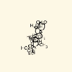 CCO[C@@H]([C@H]1C[C@@H](C)[C@H]2[C@H](O1)[C@H](O)[C@@]1(C)[C@@H]3CC[C@H]4C(C)(C)NC(=O)CCC45C[C@@]35CC[C@]21C)C(C)(C)O